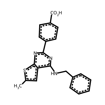 Cc1cc2c(NCc3ccccc3)nc(-c3ccc(C(=O)O)cc3)nc2s1